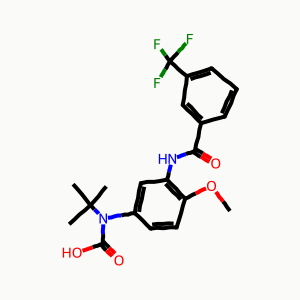 COc1ccc(N(C(=O)O)C(C)(C)C)cc1NC(=O)c1cccc(C(F)(F)F)c1